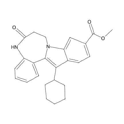 COC(=O)c1ccc2c(C3CCCCC3)c3n(c2c1)CCC(=O)Nc1ccccc1-3